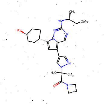 COC[C@H](C)Nc1ncc2c(-c3cnn(C(C)(C)C(=O)N4CCC4)c3)cc([C@H]3CC[C@H](O)CC3)n2n1